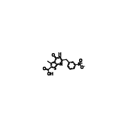 Cc1c(C(=O)O)sc2nc(Cc3cccc([N+](=O)[O-])c3)[nH]c(=O)c12